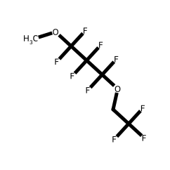 COC(F)(F)C(F)(F)C(F)(F)OCC(F)(F)F